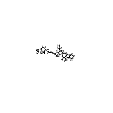 CC(=O)Nc1cccc(OCC#Cc2cnc(N3CCC4(CC3)Cc3ccccc3[C@H]4N)c(C(N)=O)n2)c1